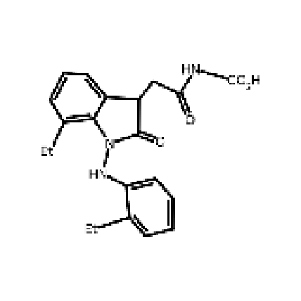 CCc1ccccc1NN1C(=O)C(CC(=O)NC(=O)O)c2cccc(CC)c21